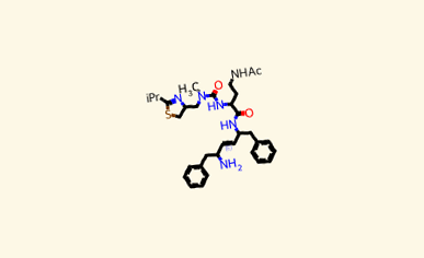 CC(=O)NCCC(NC(=O)N(C)CC1CSC(C(C)C)=N1)C(=O)NC(/C=C/C(N)Cc1ccccc1)Cc1ccccc1